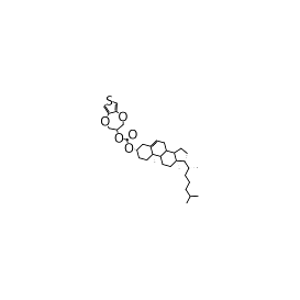 CC(C)CCC[C@@H](C)[C@H]1CCC2C3CC=C4C[C@@H](OC(=O)OC5COc6cscc6OC5)CC[C@]4(C)C3CC[C@@]21C